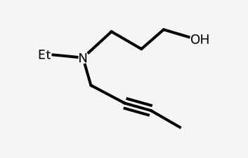 CC#CCN(CC)CCCO